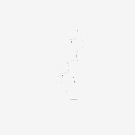 CCN1CCc2cc(NSc3ccc(C)c(F)c3)c(OC)nc2CC1